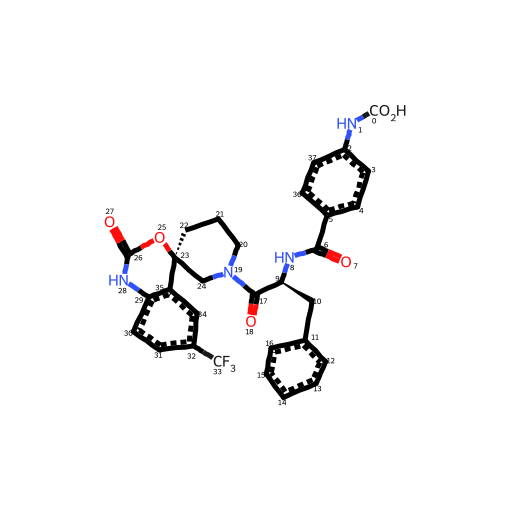 O=C(O)Nc1ccc(C(=O)N[C@@H](Cc2ccccc2)C(=O)N2CCC[C@@]3(C2)OC(=O)Nc2ccc(C(F)(F)F)cc23)cc1